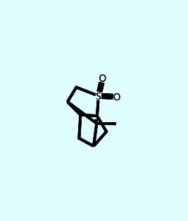 CC1(C)C2CC3C1CS(=O)(=O)C3C2